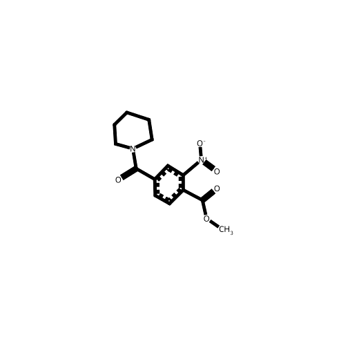 COC(=O)c1ccc(C(=O)N2CCCCC2)cc1[N+](=O)[O-]